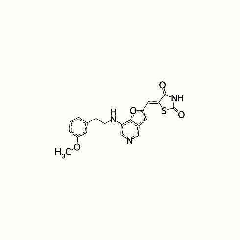 COc1cccc(CCNc2cncc3cc(/C=C4\SC(=O)NC4=O)oc23)c1